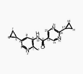 Cc1ncc(C2CC2)cc1NC(=O)c1cnc(C2CC2)nc1